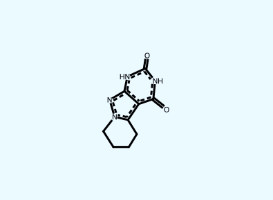 O=c1[nH]c(=O)c2c3n(nc2[nH]1)CCCC3